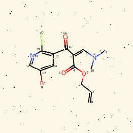 C=CCOC(=O)C(=CN(C)C)C(=O)c1cc(Br)cnc1F